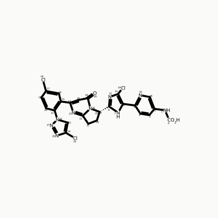 O=C(O)Nc1ccc(-c2[nH]c([C@@H]3CCc4nc(-c5cc(Cl)ccc5-n5cc(Cl)nn5)cc(=O)n43)nc2Cl)nc1